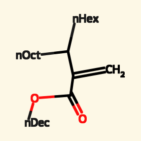 C=C(C(=O)OCCCCCCCCCC)C(CCCCCC)CCCCCCCC